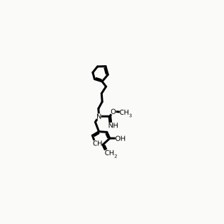 C=C/C(O)=C\C(=C/C)CN(CCCCC1=CCCC=C1)C(=N)OC